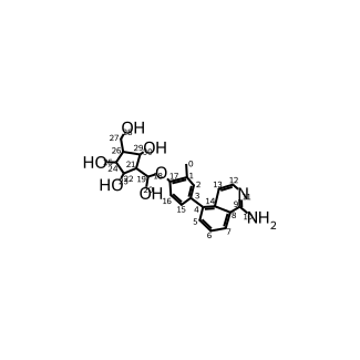 Cc1cc(-c2cccc3c(N)nccc23)ccc1OC(O)C1C(O)C(O)C(CO)C1O